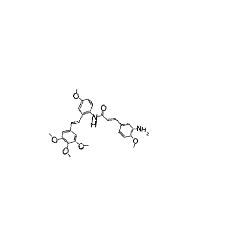 COc1ccc(NC(=O)/C=C/c2ccc(OC)c(N)c2)c(C=Cc2cc(OC)c(OC)c(OC)c2)c1